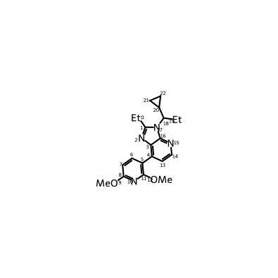 CCc1nc2c(-c3ccc(OC)nc3OC)ccnc2n1C(CC)C1CC1